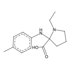 CCN1CCCC1(Nc1ccc(C)cc1)C(=O)O